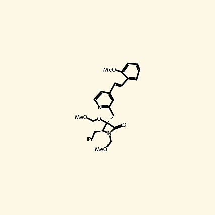 COCO[C@@]1(Cc2cc(/C=C/c3ccccc3OC)ccn2)C(=O)N(COC)[C@H]1CC(C)C